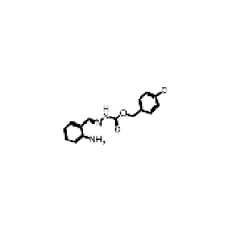 Nc1ccccc1C=NNC(=O)OCc1ccc(Cl)cc1